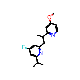 COc1ccnc(C(C)Cc2cc(F)cc(C(C)C)n2)c1